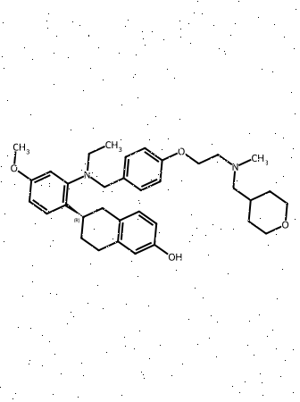 CCN(Cc1ccc(OCCN(C)CC2CCOCC2)cc1)c1cc(OC)ccc1[C@@H]1CCc2cc(O)ccc2C1